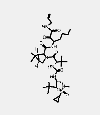 C=CCNC(=O)C(=O)C(CCCC)NC(=O)[C@@H]1[C@@H]2[C@H](CN1C(=O)[C@@H](NC(=O)N[C@H](CN(C)S(=O)(=O)C1CC1)CC(C)(C)C)C(C)(C)C)C2(C)C